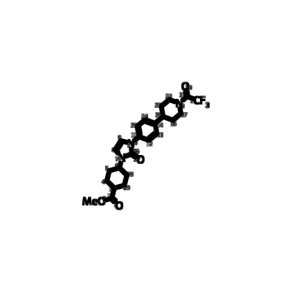 COC(=O)C1CCC(n2ccn(-c3ccc(C4CCN(C(=O)C(F)(F)F)CC4)cc3)c2=O)CC1